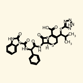 CC(C)C(Sc1nnn[nH]1)C1=C(C(=O)O)N2C(=O)C(NC(=O)C(NC(=O)n3c(=O)[nH]c4ccccc43)c3ccccc3)[C@@H]2SC1